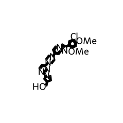 COc1cc(OC)c(-c2cn3ccc(N4CCN(c5ccnc(N6CCC(CO)C6)n5)CC4)cc3n2)cc1Cl